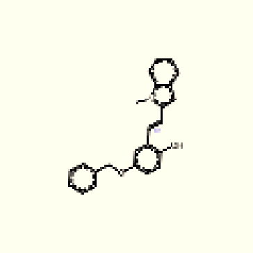 Cn1c(/C=C/c2cc(OCc3ccccc3)ccc2O)cc2ccccc21